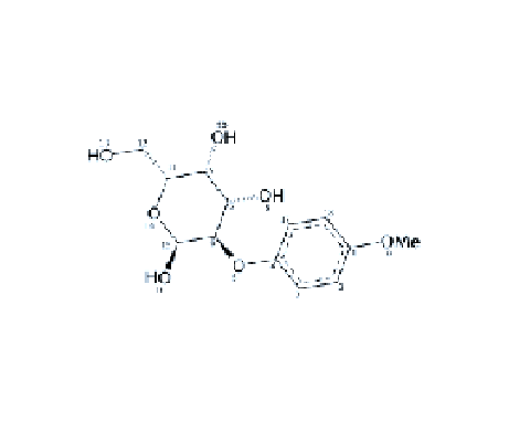 COc1ccc(O[C@@H]2[C@@H](O)[C@@H](O)[C@@H](CO)O[C@@H]2O)cc1